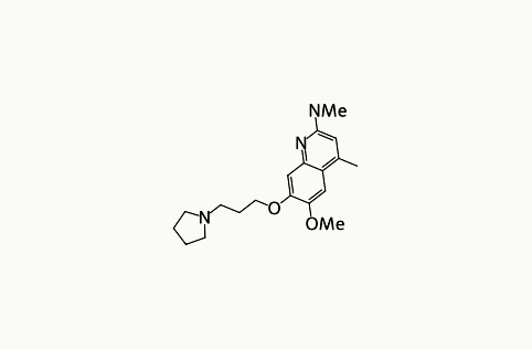 CNc1cc(C)c2cc(OC)c(OCCCN3CCCC3)cc2n1